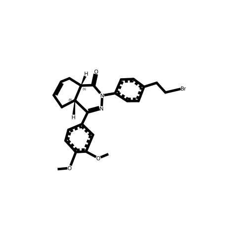 COc1ccc(C2=NN(c3ccc(CCBr)cc3)C(=O)[C@H]3CC=CC[C@@H]23)cc1OC